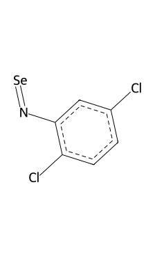 Clc1ccc(Cl)c(N=[Se])c1